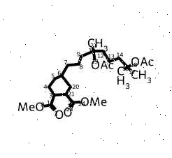 COC(=O)C1CCC(CCCC(C)(CCCC(C)(C)OC(C)=O)OC(C)=O)CC1C(=O)OC